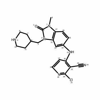 Cn1c(=O)n(CC2CCNCC2)c2cc(Nc3ccnc(Cl)c3C#N)ccc21